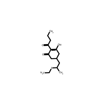 CCCC(=O)C1=C(O)CC(CC(C)SCC)CC1=O